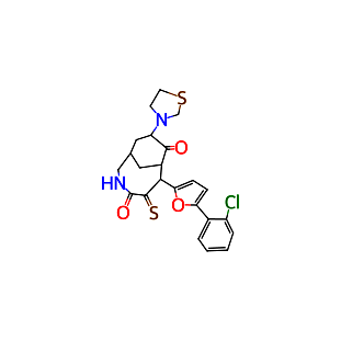 O=C1NCC2CC(C(=O)C(N3CCSC3)C2)C(c2ccc(-c3ccccc3Cl)o2)C1=S